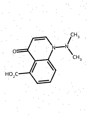 CN(C)n1ccc(=O)c2c(C(=O)O)cccc21